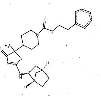 CC1(C2CCN(C(=O)CCCc3ccccc3)CC2)SC(N[C@H]2C[C@H]3CC[C@H]2C3)=NC1=O